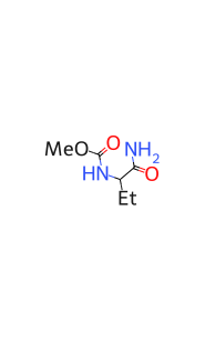 CCC(NC(=O)OC)C(N)=O